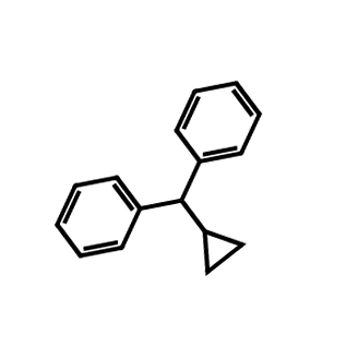 c1ccc(C(c2ccccc2)C2CC2)cc1